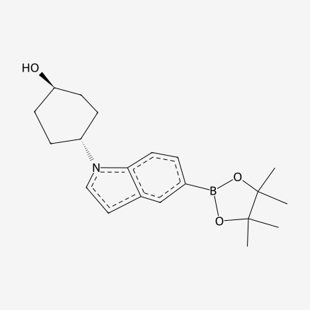 CC1(C)OB(c2ccc3c(ccn3[C@H]3CC[C@H](O)CC3)c2)OC1(C)C